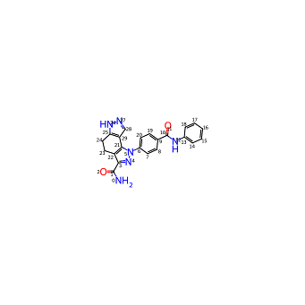 NC(=O)c1nn(-c2ccc(C(=O)Nc3ccccc3)cc2)c2c1CCc1[nH]ncc1-2